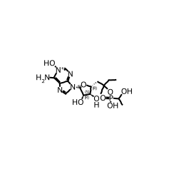 CCC(C)(C[C@H]1O[C@@H](n2cnc3c(N)[n+](O)cnc32)[C@H](O)[C@@H]1O)OP(=O)(O)C(C)O